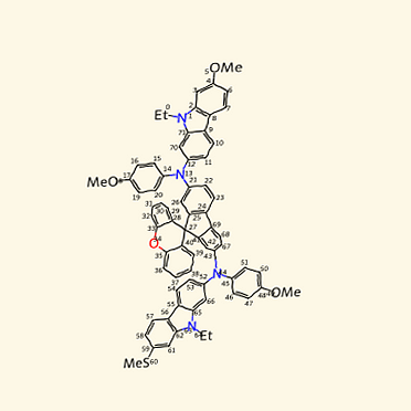 CCn1c2cc(OC)ccc2c2ccc(N(c3ccc(OC)cc3)c3ccc4c(c3)C3(c5ccccc5Oc5ccccc53)c3cc(N(c5ccc(OC)cc5)c5ccc6c7ccc(SC)cc7n(CC)c6c5)ccc3-4)cc21